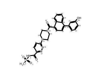 CS(=O)(=O)NC(=O)c1ccc(N2CCN(C(=O)c3ccc(-c4cccc(O)c4)c4ccccc34)CC2)nn1